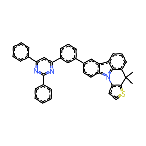 CC1(C)c2sccc2-n2c3ccc(-c4cccc(-c5cc(-c6ccccc6)nc(-c6ccccc6)n5)c4)cc3c3cccc1c32